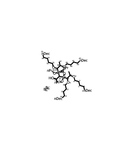 CCCCCCCCCCCCCCOC(C)C(OCCCCCCCCCCCCCC)[N+](OCCC)(OCCC)C(C(C)O)[N+](OCCC)(OCCC)C(OCCCCCCCCCCCCCC)C(C)OCCCCCCCCCCCCCC.[Br-].[Br-]